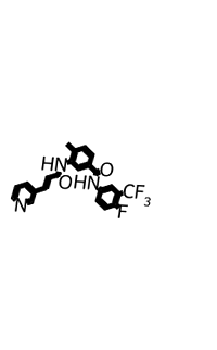 Cc1ccc(C(=O)Nc2ccc(F)c(C(F)(F)F)c2)cc1NC(=O)/C=C/c1cccnc1